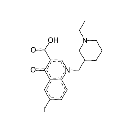 CCN1CCCC(Cn2cc(C(=O)O)c(=O)c3cc(I)ccc32)C1